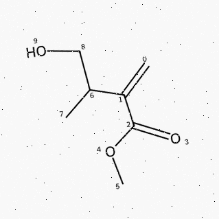 C=C(C(=O)OC)C(C)CO